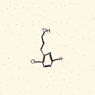 OCCCc1cc(Br)ccc1Cl